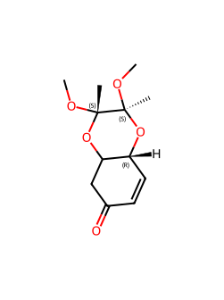 CO[C@@]1(C)OC2CC(=O)C=C[C@H]2O[C@]1(C)OC